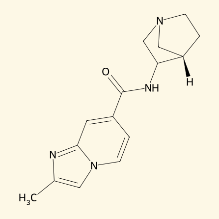 Cc1cn2ccc(C(=O)NC3CN4CC[C@H]3C4)cc2n1